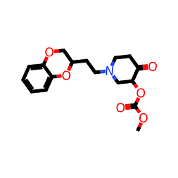 COC(=O)OC1CN(CCC2COc3ccccc3O2)CCC1=O